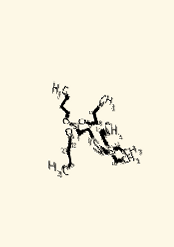 CCCCO[Si](CCS[Si](CC)(CC)CC)(OCCCC)OCCCC